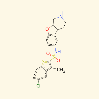 Cc1c(S(=O)(=O)Nc2ccc3c(c2)C2CCNCC2O3)sc2ccc(Cl)cc12